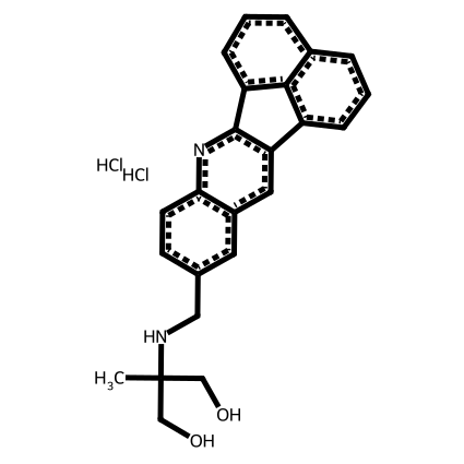 CC(CO)(CO)NCc1ccc2nc3c(cc2c1)-c1cccc2cccc-3c12.Cl.Cl